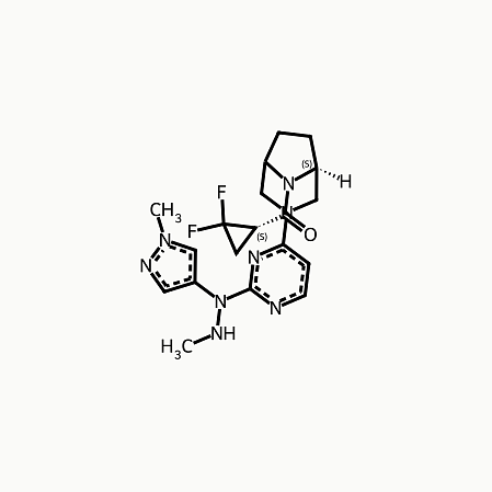 CNN(c1cnn(C)c1)c1nccc(N2CC3CC[C@@H](C2)N3C(=O)[C@@H]2CC2(F)F)n1